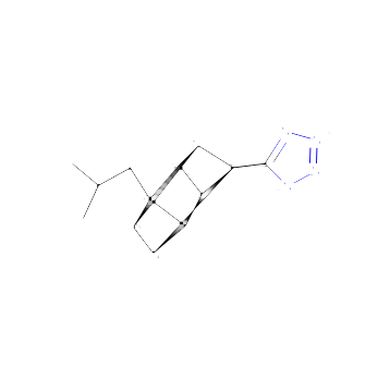 CC(C)CC12C3C4C1C1C2C3C41c1nnn[nH]1